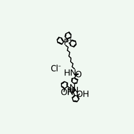 O=C(NCCCCCCCCCC[P+](c1ccccc1)(c1ccccc1)c1ccccc1)c1ccc(-n2nc(-c3ccccc3O)nc2-c2ccccc2O)cc1.[Cl-]